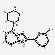 Fc1cccc(-c2cc3c(N4CCOCC4)nccc3[nH]2)c1